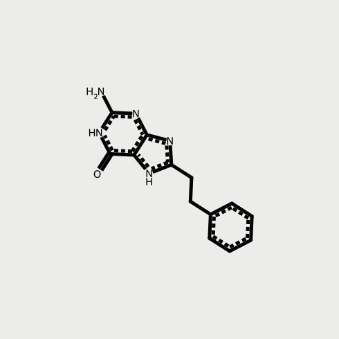 Nc1nc2nc(CCc3ccccc3)[nH]c2c(=O)[nH]1